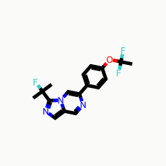 CC(F)(F)Oc1ccc(-c2cn3c(C(C)(C)F)ncc3cn2)cc1